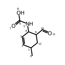 CC1C=CC(NC(=O)O)C(C=O)C1